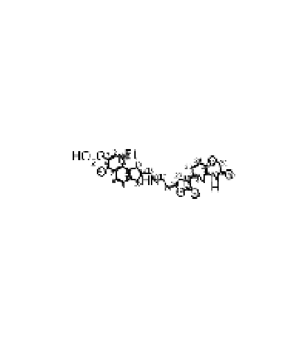 CCn1cc(C(=O)O)c(=O)c2ccc3c(c21)CC(CNCCC1CN(c2ccc4c(n2)NC(=O)CO4)C(=O)O1)C3